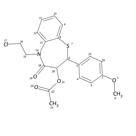 COc1ccc(C2Sc3ccccc3N(CCCl)C(=O)C2OC(C)=O)cc1